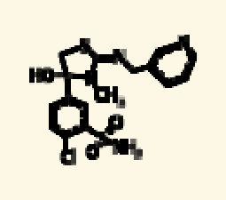 CN1C(=NCc2cccnc2)SCC1(O)c1ccc(Cl)c(S(N)(=O)=O)c1